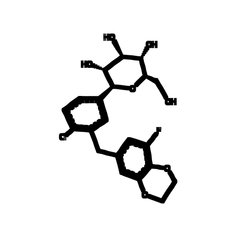 OC[C@H]1O[C@@H](c2ccc(Cl)c(Cc3cc(F)c4c(c3)OCCO4)c2)[C@H](O)[C@@H](O)[C@@H]1O